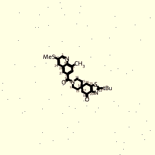 CSc1cnc2c(C)cc(C(=O)N3CCC4(CC3)CC(=O)c3nc(C(C)(C)C)sc3C4)cc2c1